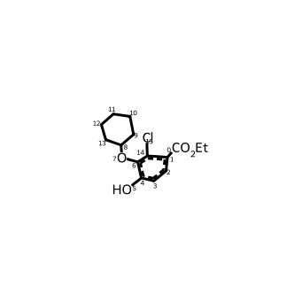 CCOC(=O)c1ccc(O)c(OC2CCCCC2)c1Cl